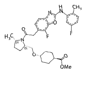 COC(=O)[C@H]1CC[C@H](OC[C@@H]2CC[C@H](C)N2C(=O)Cc2ccc3nc(Nc4cc(F)ccc4C)oc3c2F)CC1